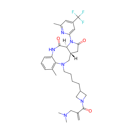 C=C(CN(C)C)C(=O)N1CC(CCCCN2C[C@H]3CC(=O)N(c4cc(C(F)(F)F)cc(C)n4)[C@@H]3C(=O)Nc3cccc(C)c32)C1